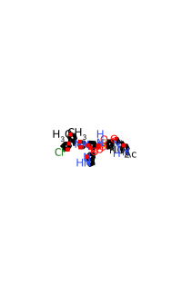 CC(=O)N1CCC(C[C@@H]2COc3cc(S(=O)(=O)NC(=O)c4ccc(N5CCN(CC6=C(c7ccc(Cl)cc7)CC(C)(C)CC6)CC5)cc4Oc4cnc5[nH]ccc5c4)cc([N+](=O)[O-])c3N2)CC1